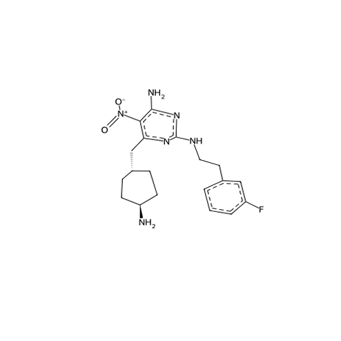 Nc1nc(NCCc2cccc(F)c2)nc(C[C@H]2CC[C@H](N)CC2)c1[N+](=O)[O-]